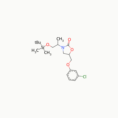 CC(CO[Si](C)(C)C(C)(C)C)N1CC(COc2cccc(Cl)c2)OC1=O